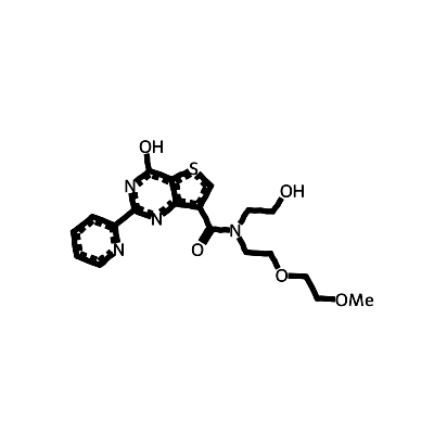 COCCOCCN(CCO)C(=O)c1csc2c(O)nc(-c3ccccn3)nc12